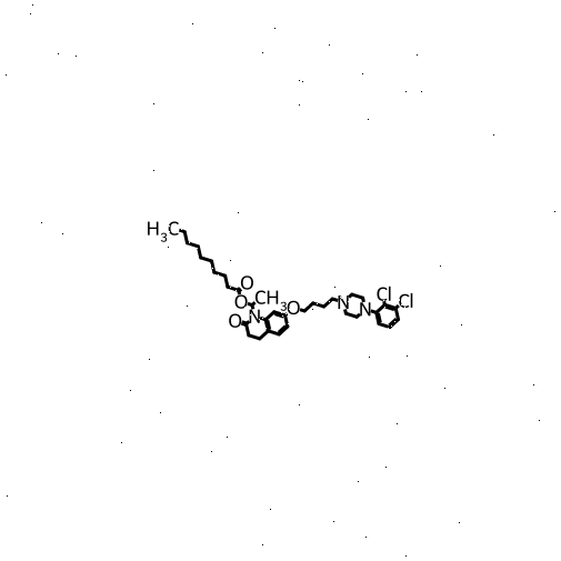 CCCCCCCCCC(=O)OC(C)N1C(=O)CCc2ccc(OCCCCN3CCN(c4cccc(Cl)c4Cl)CC3)cc21